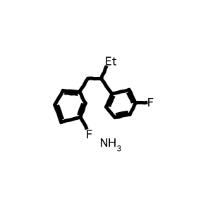 CCC(Cc1cccc(F)c1)c1cccc(F)c1.N